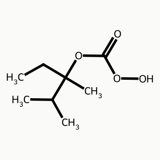 CCC(C)(OC(=O)OO)C(C)C